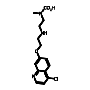 CN(CCNCCOc1ccc2c(Cl)ccnc2c1)C(=O)O